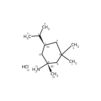 CC(C)[C@H]1CC(C)(C)C[C@](C)(N)C1.Cl